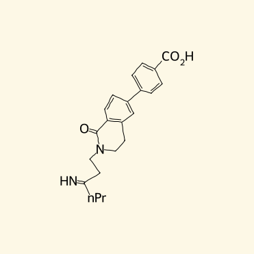 CCCC(=N)CCN1CCc2cc(-c3ccc(C(=O)O)cc3)ccc2C1=O